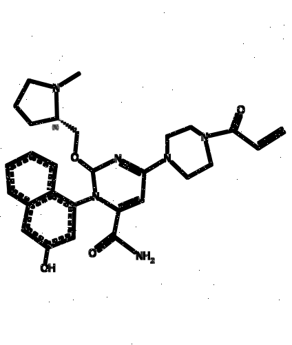 C=CC(=O)N1CCN(C2=NC(OC[C@@H]3CCCN3C)N(c3cc(O)cc4ccccc34)C(C(N)=O)=C2)CC1